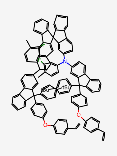 C=Cc1ccc(Oc2ccc(C3(c4ccc(C(C)(C)C)cc4)c4ccccc4-c4ccc(C(CCc5ccc6c(c5)C5(c7ccccc7-6)c6ccccc6-c6ccc(N(c7ccc(C)c(F)c7)c7ccc8c(c7)C(c7ccc(Oc9ccc(C=C)cc9)cc7)(c7ccc(C(C)(C)C)cc7)c7ccccc7-8)cc65)c5ccc(C)c(F)c5)cc43)cc2)cc1